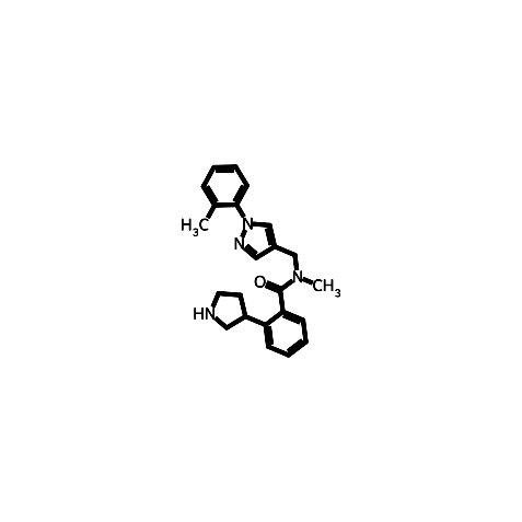 Cc1ccccc1-n1cc(CN(C)C(=O)c2ccccc2C2CCNC2)cn1